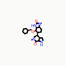 Cn1cc(-c2ccc3c([nH]c(=O)n3C)c2OCc2ccccc2)c2cc[nH]c2c1=O